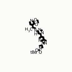 C[C@H](CNc1cc(-c2cnc3c(cnn3C3CN(C(=O)OC(C)(C)C)C3)c2)ncn1)c1ccnc2c1OCCO2